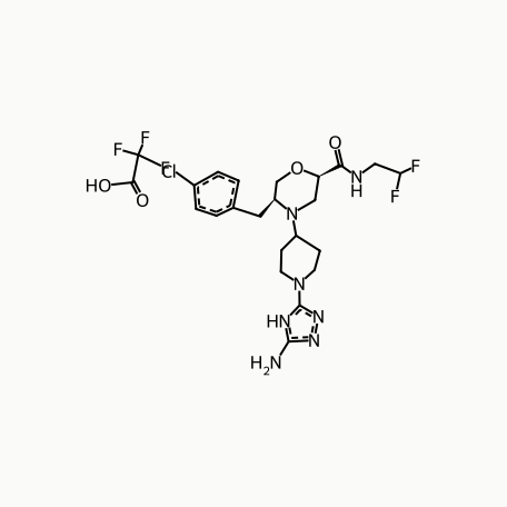 Nc1nnc(N2CCC(N3C[C@H](C(=O)NCC(F)F)OC[C@@H]3Cc3ccc(Cl)cc3)CC2)[nH]1.O=C(O)C(F)(F)F